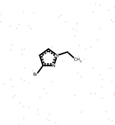 CCn1c[c]c(Br)n1